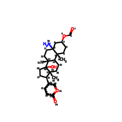 C[C@]12CC[C@H](OC=O)C[C@@]1(N)CC[C@@H]1C2CC[C@]2(C)[C@@H](c3ccc(=O)oc3)CC[C@]12O